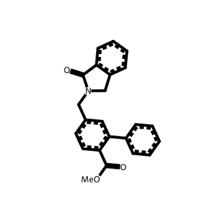 COC(=O)c1ccc(CN2Cc3ccccc3C2=O)cc1-c1ccccc1